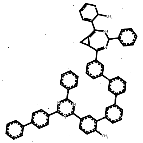 Cc1ccc(-c2nc(-c3ccccc3)nc(-c3ccc(-c4ccccc4)cc3)n2)cc1-c1cccc(-c2cccc(-c3cccc(C4=NC(c5ccccc5)NC(C5=CC=CCC5C)=C5CC45)c3)c2)c1